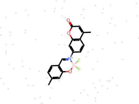 Cc1ccc2c(c1)O[B-](F)(F)[N+](c1ccc3c(C)cc(=O)oc3c1)=C2